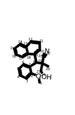 COc1ccccc1C(c1cccc2ccccc12)C(C)(C#N)CO